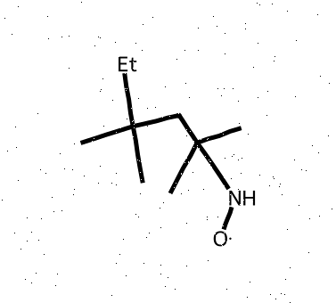 CCC(C)(C)CC(C)(C)N[O]